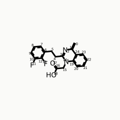 C=C1N=C(CCc2cccc(F)c2F)N(CC(=O)O)c2ccccc21